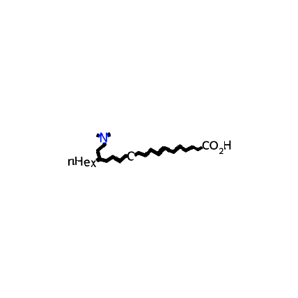 CCCCCCC(CCCCCCCCC=CCCCCCC(=O)O)CCN(C)C